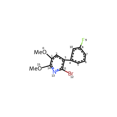 COc1cc(-c2cccc(F)c2)c(Br)nc1OC